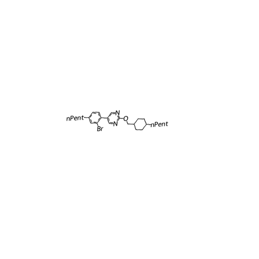 CCCCCc1ccc(-c2cnc(OCC3CCC(CCCCC)CC3)nc2)c(Br)c1